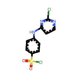 O=S(=O)(Cl)c1ccc(Nc2ccnc(Cl)n2)cc1